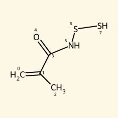 C=C(C)C(=O)NSS